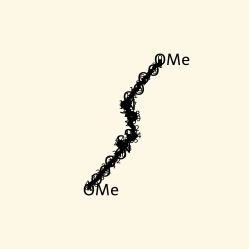 COCCOCCOCCOCCOc1csc(-c2ccc(/C=C/c3ccc(-c4nc(OCCOCCOCCOCCOC)cs4)s3)s2)n1